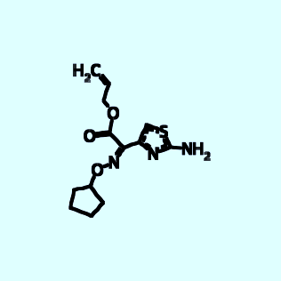 C=CCOC(=O)C(=NOC1CCCC1)c1csc(N)n1